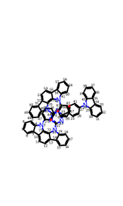 C1=CC(n2c3ccccc3c3ccc4c5ccccc5n(-c5nc(-c6ccc(-n7c8ccccc8c8ccccc87)cc6)nc(-n6c7ccccc7c7ccc8c9ccccc9n(-c9ccccc9)c8c76)n5)c4c32)=CCC1